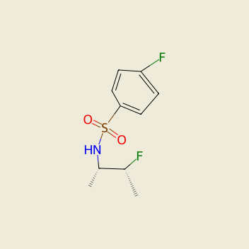 C[C@H](NS(=O)(=O)c1ccc(F)cc1)[C@@H](C)F